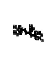 CC(C)=CC(N)CCC(C)N